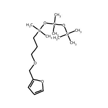 C[Si](C)(C)O[Si](C)(C)O[Si](C)(C)CCCOCc1ccco1